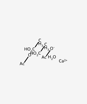 CC(=O)O.CC(=O)O.CC(=O)[O-].CC(=O)[O-].O.[Ca+2]